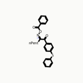 CCCCC/C(=N/OC(=O)c1ccccc1)C(=O)c1ccc(Sc2ccccc2)cc1